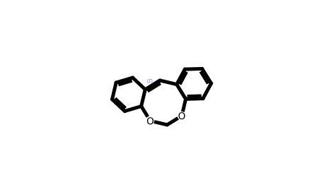 C1=C/C2=C/c3ccccc3OCOC2C=C1